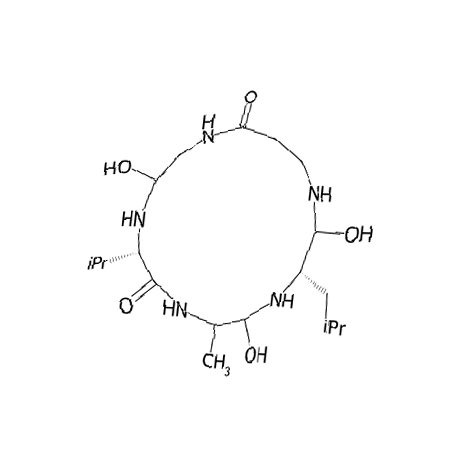 CC(C)C[C@@H]1NC(O)C(C)NC(=O)[C@H](C(C)C)NC(O)CNC(=O)CCNC1O